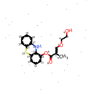 CC(=COCCO)C(=O)Oc1cccc2c1Nc1ccccc1S2